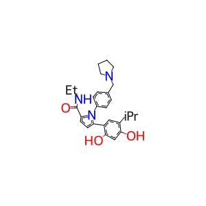 CCNC(=O)c1ccc(-c2cc(C(C)C)c(O)cc2O)n1-c1ccc(CN2CCCC2)cc1